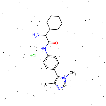 Cc1ncn(C)c1-c1ccc(NC(=O)C(N)C2CCCCC2)cc1.Cl